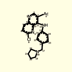 CC(=O)c1cnc2ccc(Cl)nc2c1Nc1ccc(CN2CCCC2)cc1